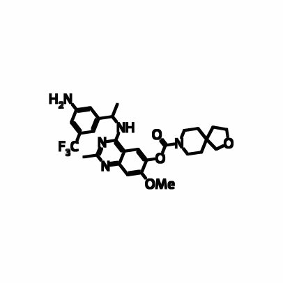 COc1cc2nc(C)nc(NC(C)c3cc(N)cc(C(F)(F)F)c3)c2cc1OC(=O)N1CCC2(CCOC2)CC1